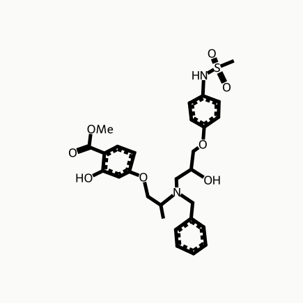 COC(=O)c1ccc(OCC(C)N(Cc2ccccc2)CC(O)COc2ccc(NS(C)(=O)=O)cc2)cc1O